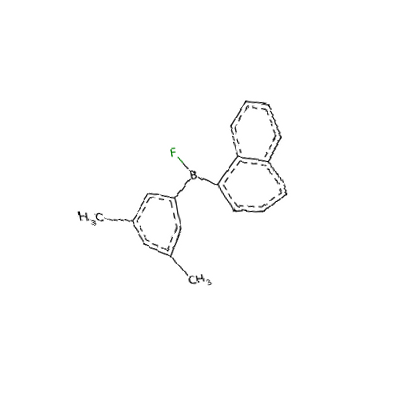 Cc1cc(C)cc(B(F)c2cccc3ccccc23)c1